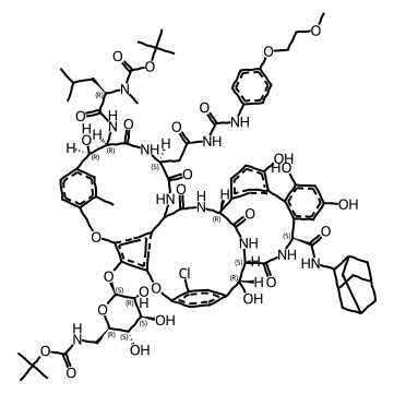 COCCOc1ccc(NC(=O)NC(=O)C[C@@H]2NC(=O)[C@H](NC(=O)[C@@H](CC(C)C)N(C)C(=O)OC(C)(C)C)[C@H](O)c3ccc(c(C)c3)Oc3cc4cc(c3O[C@@H]3O[C@H](CNC(=O)OC(C)(C)C)[C@@H](O)[C@H](O)[C@H]3O)Oc3ccc(cc3Cl)[C@@H](O)[C@@H]3NC(=O)[C@H](NC(=O)C4NC2=O)c2ccc(O)c(c2)-c2c(O)cc(O)cc2[C@@H](C(=O)NC2C4CC5CC(C4)CC2C5)NC3=O)cc1